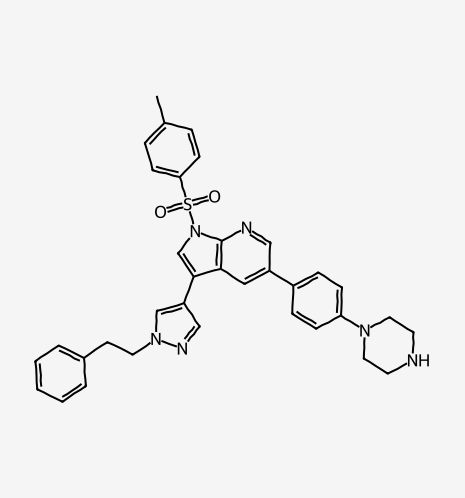 Cc1ccc(S(=O)(=O)n2cc(-c3cnn(CCc4ccccc4)c3)c3cc(-c4ccc(N5CCNCC5)cc4)cnc32)cc1